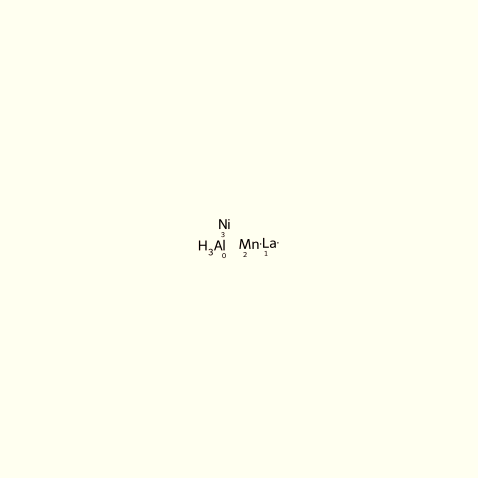 [AlH3].[La].[Mn].[Ni]